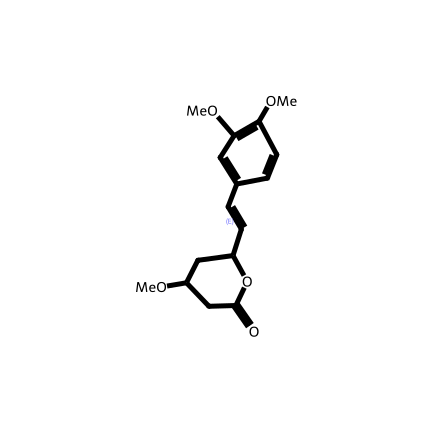 COc1ccc(/C=C/C2CC(OC)CC(=O)O2)cc1OC